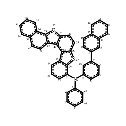 c1ccc(N(c2cccc(-c3ccc4ccccc4c3)c2)c2cccc3c2sc2ccc4oc5c6ccccc6ccc5c4c23)cc1